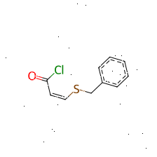 O=C(Cl)/C=C\SCc1ccccc1